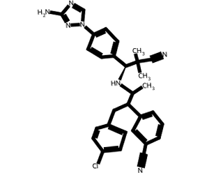 CC(N[C@@H](c1ccc(-n2cnc(N)n2)cc1)C(C)(C)C#N)C(Cc1ccc(Cl)cc1)c1cccc(C#N)c1